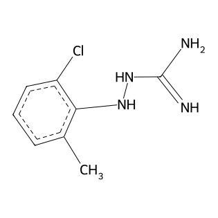 Cc1cccc(Cl)c1NNC(=N)N